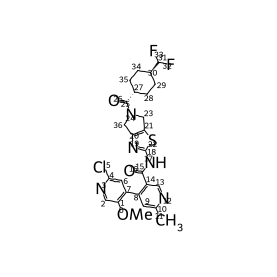 COc1cnc(Cl)cc1-c1cc(C)ncc1C(=O)Nc1nc2c(s1)CN(C(=O)[C@H]1CC[C@H](C(F)F)CC1)C2